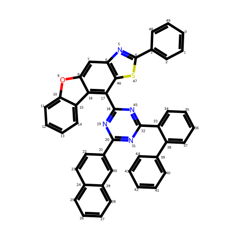 c1ccc(-c2nc3cc4oc5ccccc5c4c(-c4nc(-c5ccc6ccccc6c5)nc(-c5ccccc5-c5ccccc5)n4)c3s2)cc1